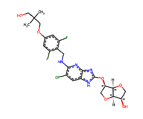 CC(C)(CO)COc1cc(F)c(CNc2nc3nc(O[C@@H]4CO[C@H]5[C@@H]4OC[C@H]5O)[nH]c3cc2Cl)c(F)c1